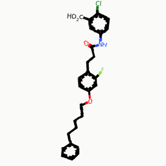 O=C(CCc1ccc(OCCCCCc2ccccc2)cc1F)Nc1ccc(Cl)c(C(=O)O)c1